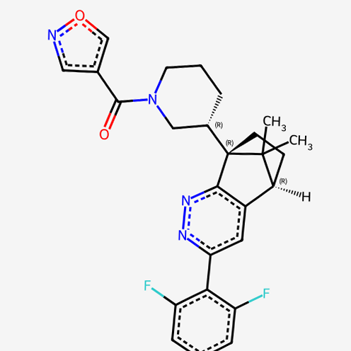 CC1(C)[C@H]2CC[C@]1([C@H]1CCCN(C(=O)c3cnoc3)C1)c1nnc(-c3c(F)cccc3F)cc12